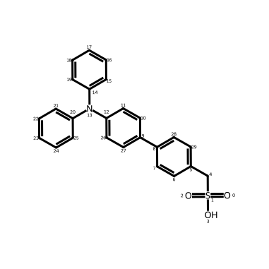 O=S(=O)(O)Cc1ccc(-c2ccc(N(c3ccccc3)c3ccccc3)cc2)cc1